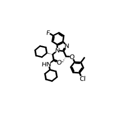 Cc1cc(Cl)ccc1O[C@H](C)c1nc2ccc(F)cc2n1[C@H](C(=O)NC1CCCCC1)C1CCCCC1